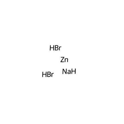 Br.Br.[NaH].[Zn]